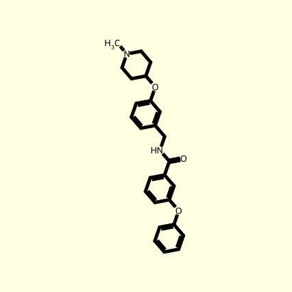 CN1CCC(Oc2cccc(CNC(=O)c3cccc(Oc4ccccc4)c3)c2)CC1